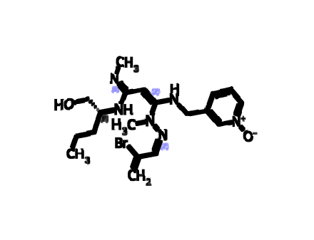 C=C(Br)/C=N\N(C)/C(=C\C(=N/C)N[C@@H](CO)CCC)NCc1ccc[n+]([O-])c1